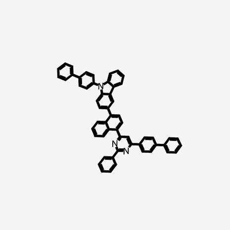 c1ccc(-c2ccc(-c3cc(-c4ccc(-c5ccc6c(c5)c5ccccc5n6-c5ccc(-c6ccccc6)cc5)c5ccccc45)nc(-c4ccccc4)n3)cc2)cc1